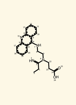 CCC(=N)N(CCNc1c2ccccc2nc2ccccc12)CCC(=O)O